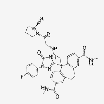 CNC(=O)c1ccc2c(c1)CCc1cc(C(=O)NC)ccc1C2(CCNCC(=O)N1CCC[C@H]1C#N)c1nn(-c2ccc(F)cc2)c(=O)[nH]1